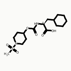 CS(=O)(=O)N1CCC(OC(=O)N[C@@H](CC2CCCCC2)C(=O)O)CC1